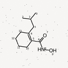 CC(C)CC1=C(C(=O)NO)CCCC1